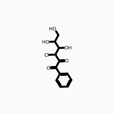 O=C(C(=O)C(Cl)C(O)C(O)CO)c1ccccc1